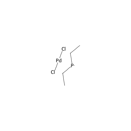 CC[P]CC.[Cl][Pd][Cl]